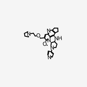 COc1nc2c(NC3CCN(c4ccncc4)CC3)c3c(nc2cc1COCCN1CCCC1)CCC3